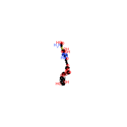 C[C@H]1OC(O[C@@H]2[C@@H](C)OCC[C@@]2(O)O[C@H]2CC[C@H](O[C@@H]3CC[C@@]4(C)[C@H](CCC5[C@@H]4C[C@@H](O)[C@]4(C)[C@@H](C)CC[C@]54O)C3)O[C@@H]2C)CC[C@@H]1OCCCCCC(=O)Nc1ncnc2c1ncn2C1O[C@H](CSCC[C@H](N)C(=O)O)[C@@H](O)C1O